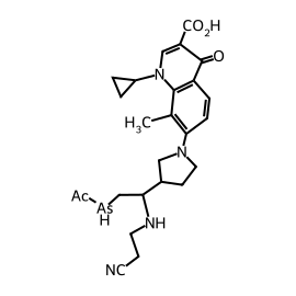 CC(=O)[AsH]CC(NCCC#N)C1CCN(c2ccc3c(=O)c(C(=O)O)cn(C4CC4)c3c2C)C1